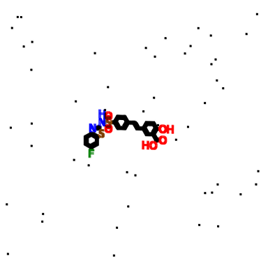 O=C(O)c1cc(C=Cc2ccc(S(=O)(=O)Nc3nc4ccc(F)cc4s3)cc2)ccc1O